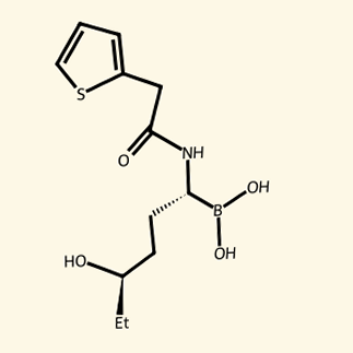 CC[C@@H](O)CC[C@H](NC(=O)Cc1cccs1)B(O)O